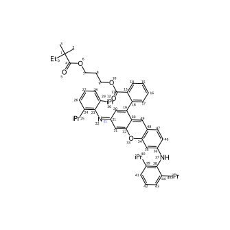 CCC(C)(C)C(=O)OCCCOC(=O)c1ccccc1-c1c/c(=N\c2c(C(C)C)cccc2C(C)C)cc2oc3cc(Nc4c(C(C)C)cccc4C(C)C)ccc3cc1-2